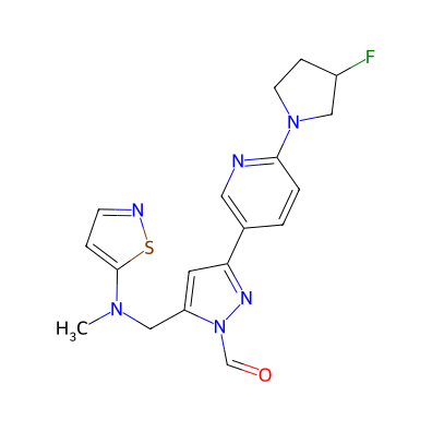 CN(Cc1cc(-c2ccc(N3CCC(F)C3)nc2)nn1C=O)c1ccns1